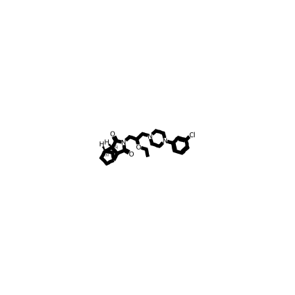 CCOC(CN1CCN(c2cccc(Cl)c2)CC1)CN1C(=O)C2C3CC[C@@H](C3)[C@@H]2C1=O